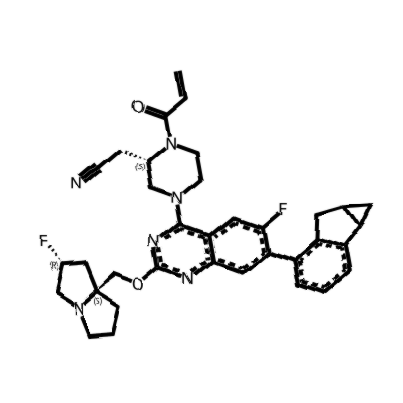 C=CC(=O)N1CCN(c2nc(OC[C@@]34CCCN3C[C@H](F)C4)nc3cc(-c4cccc5c4CC4CC54)c(F)cc23)C[C@@H]1CC#N